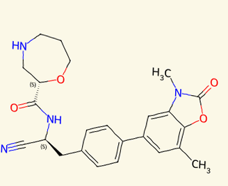 Cc1cc(-c2ccc(C[C@@H](C#N)NC(=O)[C@@H]3CNCCCO3)cc2)cc2c1oc(=O)n2C